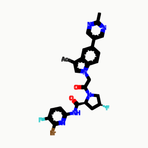 CC(=O)c1cn(CC(=O)N2C[C@H](F)C[C@H]2C(=O)Nc2ccc(F)c(Br)n2)c2ccc(-c3cnc(C)nc3)cc12